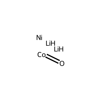 [LiH].[LiH].[Ni].[O]=[Co]